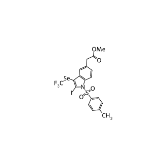 COC(=O)Cc1ccc2c(c1)c([Se]C(F)(F)F)c(I)n2S(=O)(=O)c1ccc(C)cc1